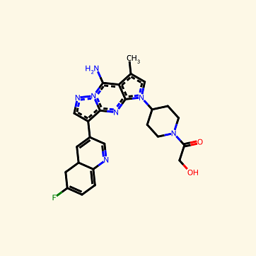 Cc1cn(C2CCN(C(=O)CO)CC2)c2nc3c(C4=CC5CC(F)=CC=C5N=C4)cnn3c(N)c12